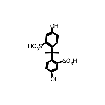 CC(C)(c1ccc(O)cc1S(=O)(=O)O)c1ccc(O)cc1S(=O)(=O)O